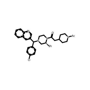 CC(=O)N1CCC(CC(=O)N2CCN(C(c3ccc(Cl)cc3)c3cnc4ccccc4c3)C[C@@H]2C(C)C)CC1